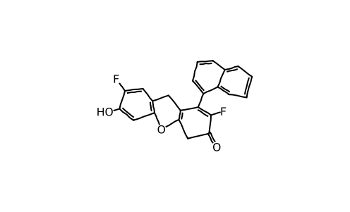 O=C1CC2=C(Cc3cc(F)c(O)cc3O2)C(c2cccc3ccccc23)=C1F